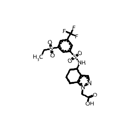 CCS(=O)(=O)c1cc(C(F)(F)F)cc(S(=O)(=O)NC2CCCc3c2cnn3CC(=O)O)c1